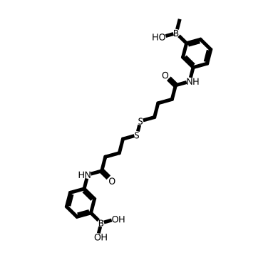 CB(O)c1cccc(NC(=O)CCCSSCCCC(=O)Nc2cccc(B(O)O)c2)c1